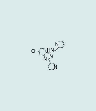 Clc1ccc2c(NCc3ccccn3)nc(-c3cccnc3)nc2c1